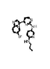 CCCNc1ccc(Nc2nccc(-c3cnc4ccc(Br)cn34)n2)cn1